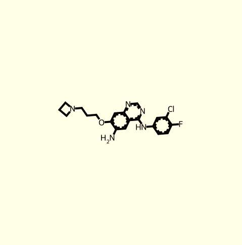 Nc1cc2c(Nc3ccc(F)c(Cl)c3)ncnc2cc1OCCCN1CCC1